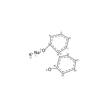 [K+].[Na+].[O-]c1ccccc1.[O-]c1ccccc1